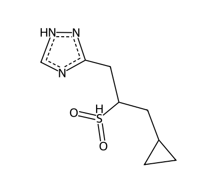 O=[SH](=O)C(Cc1nc[nH]n1)CC1CC1